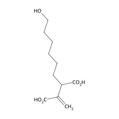 C=C(C(=O)O)C(CCCCCCO)C(=O)O